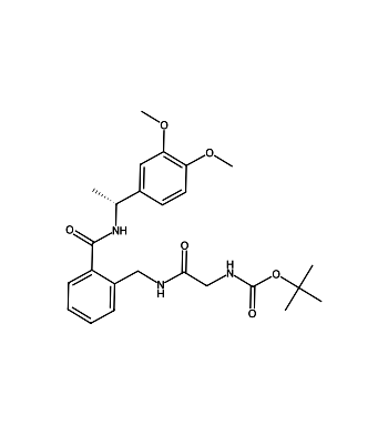 COc1ccc([C@@H](C)NC(=O)c2ccccc2CNC(=O)CNC(=O)OC(C)(C)C)cc1OC